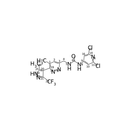 Cc1cc(CNC(=O)Nc2cc(Cl)nc(Cl)c2)nnc1-c1c(C(F)(F)F)n[nH]c1C